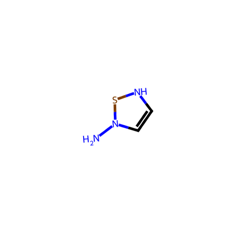 NN1C=CNS1